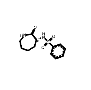 O=C1NCCCC[C@H]1NS(=O)(=O)c1ccccc1